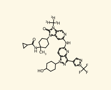 [2H]C([2H])([2H])n1c(=O)n(C2CCC(C)(NC(=O)C3CC3)CC2)c2cc(Nc3ccc4c(n3)c(-c3cnn(C(F)(F)F)c3)nn4C3CCC(O)CC3)ncc21